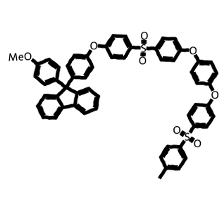 COc1ccc(C2(c3ccc(Oc4ccc(S(=O)(=O)c5ccc(Oc6ccc(Oc7ccc(S(=O)(=O)c8ccc(C)cc8)cc7)cc6)cc5)cc4)cc3)c3ccccc3-c3ccccc32)cc1